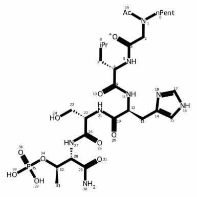 CCCCCN(CC(=O)N[C@@H](CC(C)C)C(=O)N[C@@H](Cc1c[nH]cn1)C(=O)N[C@@H](CO)C(=O)N[C@H](C(N)=O)[C@@H](C)OP(=O)(O)O)C(C)=O